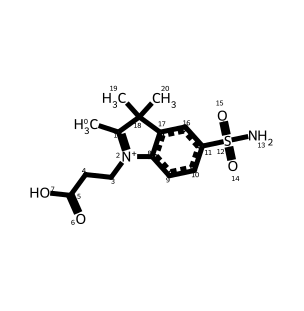 CC1=[N+](CCC(=O)O)c2ccc(S(N)(=O)=O)cc2C1(C)C